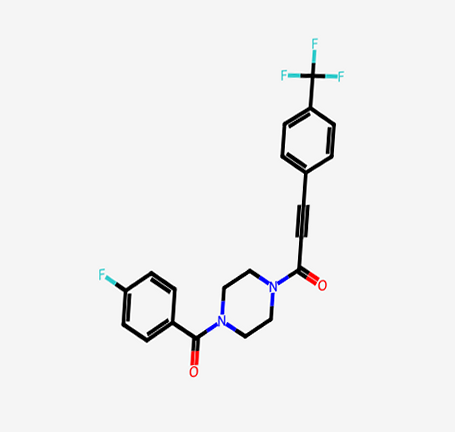 O=C(C#Cc1ccc(C(F)(F)F)cc1)N1CCN(C(=O)c2ccc(F)cc2)CC1